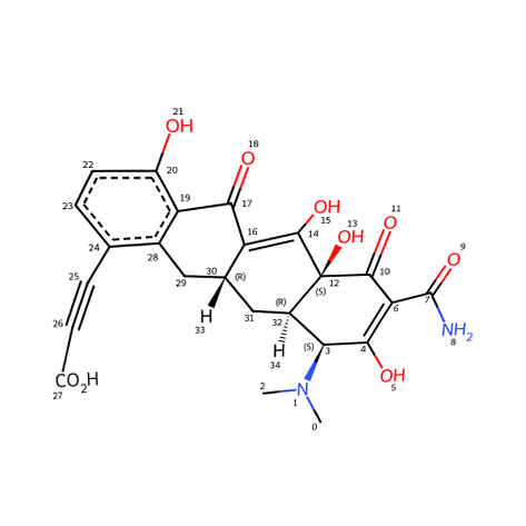 CN(C)[C@@H]1C(O)=C(C(N)=O)C(=O)[C@@]2(O)C(O)=C3C(=O)c4c(O)ccc(C#CC(=O)O)c4C[C@H]3C[C@H]12